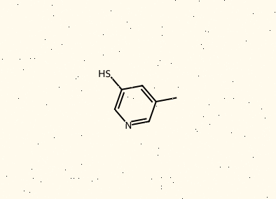 Cc1cncc(S)c1